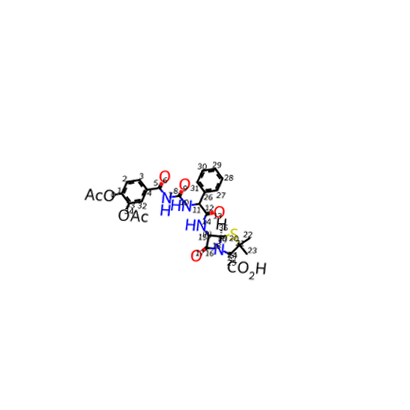 CC(=O)Oc1ccc(C(=O)NC(=O)NC(C(=O)N[C@@H]2C(=O)N3[C@@H]2SC(C)(C)[C@@H]3C(=O)O)c2ccccc2)cc1OC(C)=O